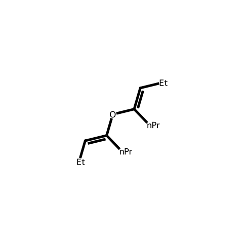 CC/C=C(\CCC)O/C(=C/CC)CCC